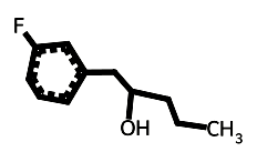 CCCC(O)Cc1cccc(F)c1